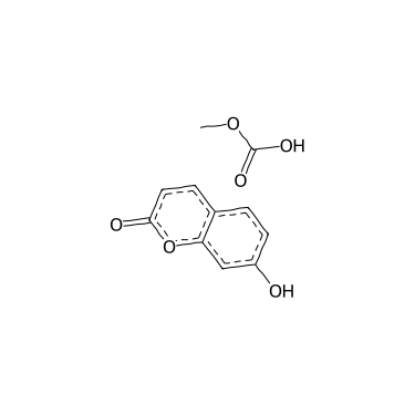 COC(=O)O.O=c1ccc2ccc(O)cc2o1